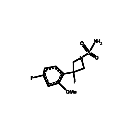 COc1cc(F)ccc1C1(F)CN(S(N)(=O)=O)C1